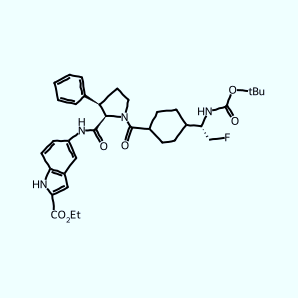 CCOC(=O)c1cc2cc(NC(=O)[C@H]3[C@@H](c4ccccc4)CCN3C(=O)C3CCC([C@@H](CF)NC(=O)OC(C)(C)C)CC3)ccc2[nH]1